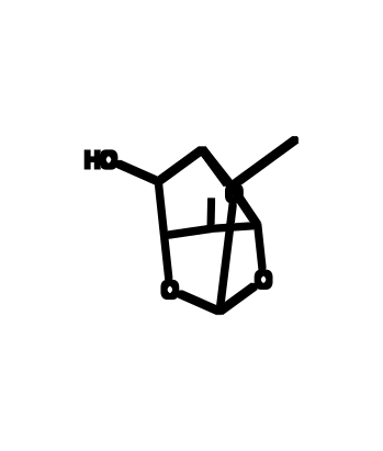 CC1C2OC3OC1C(O)C(O3)C2C